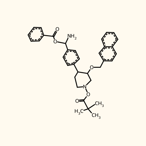 CC(C)(C)C(=O)ON1CCC(c2ccc(C(N)OC(=O)c3ccccc3)cc2)C(OCc2ccc3ccccc3c2)C1